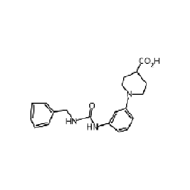 O=C(NCc1ccccc1)Nc1cccc(N2CCC(C(=O)O)CC2)c1